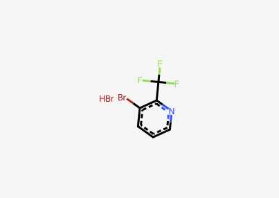 Br.FC(F)(F)c1ncccc1Br